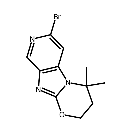 CC1(C)CCOc2nc3cnc(Br)cc3n21